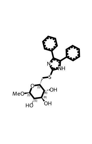 CO[C@H]1O[C@H](CSc2nc(-c3ccccc3)c(-c3ccccc3)[nH]2)[C@H](O)[C@@H](O)[C@@H]1O